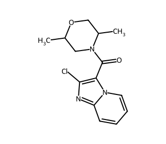 CC1CN(C(=O)c2c(Cl)nc3ccccn23)C(C)CO1